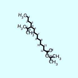 CCCCC(CCCCCCCCC(=O)OC(C)C)C(C)C